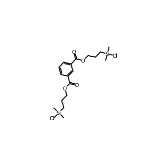 C[Si](C)(Cl)CCCOC(=O)c1cccc(C(=O)OCCC[Si](C)(C)Cl)c1